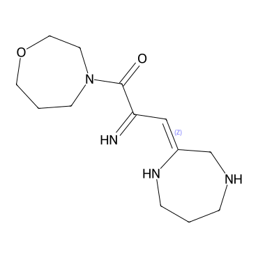 N=C(/C=C1/CNCCCN1)C(=O)N1CCCOCC1